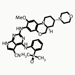 COc1cc2c(cc1Nc1nc(Nc3ccccc3P(C)(C)=O)c3c(C#N)c[nH]c3n1)OC[C@@H]1C[C@@H](N3CCOCC3)CCN21